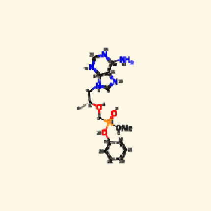 [CH2]OP(=O)(CO[C@H](C)Cn1cnc2c(N)ncnc21)Oc1ccccc1